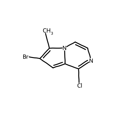 Cc1c(Br)cc2c(Cl)nccn12